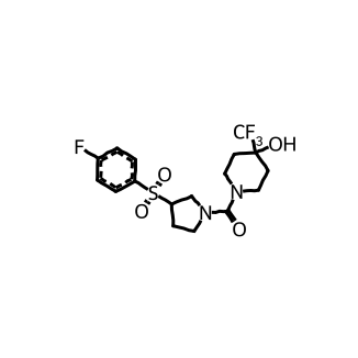 O=C(N1CCC(O)(C(F)(F)F)CC1)N1CCC(S(=O)(=O)c2ccc(F)cc2)C1